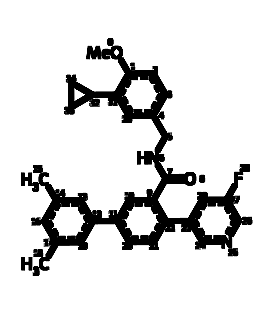 COc1ccc(CNC(=O)c2cc(-c3cc(C)cc(C)c3)ccc2-c2cncc(F)c2)cc1C1CC1